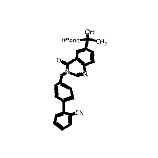 CCCCCC(C)(O)c1ccc2ncn(Cc3ccc(-c4ccccc4C#N)cc3)c(=O)c2c1